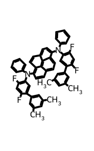 Cc1cc(C)cc(-c2cc(N(c3ccccc3)c3ccc4ccc5c(N(c6ccccc6)c6cc(-c7cc(C)cc(C)c7)c(F)cc6F)ccc6ccc3c4c65)c(F)cc2F)c1